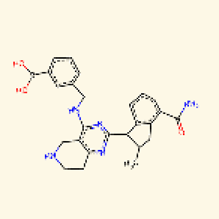 CC1Cc2c(C(N)=O)cccc2C1c1nc2c(c(NCc3cccc(B(O)O)c3)n1)CNCC2